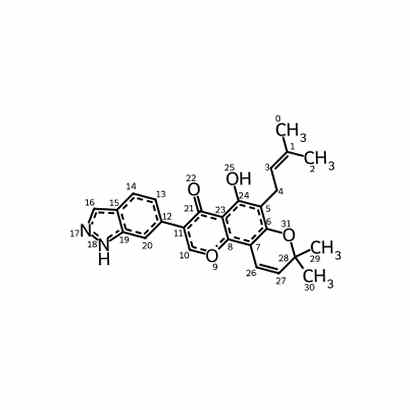 CC(C)=CCc1c2c(c3occ(-c4ccc5cn[nH]c5c4)c(=O)c3c1O)C=CC(C)(C)O2